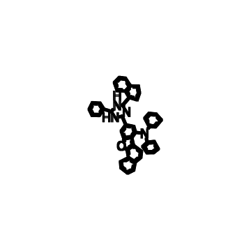 c1ccc(C2NC(c3cc(N(c4ccccc4)c4ccccc4)c4c(c3)oc3c5ccccc5ccc34)=NC(c3cccc4ccccc34)N2)cc1